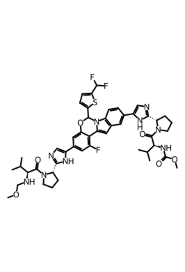 COCN[C@H](C(=O)N1CCC[C@H]1c1ncc(-c2cc(F)c3c(c2)OC(c2ccc(C(F)F)s2)n2c-3cc3cc(-c4cnc([C@@H]5CCCN5C(=O)[C@@H](NC(=O)OC)C(C)C)[nH]4)ccc32)[nH]1)C(C)C